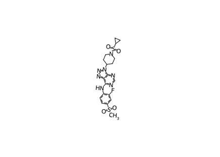 CS(=O)(=O)c1ccc(Nc2ncnc3c2nnn3C2CCN(S(=O)(=O)C3CC3)CC2)c(F)c1